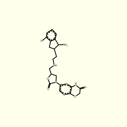 NC1c2cccc(Cl)c2CC1CCNCC1CN(c2cnc3c(n2)NC(=O)CO3)C(=O)O1